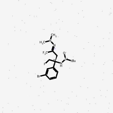 CN(C)/N=C(/C[C@@](CF)(N[S+]([O-])C(C)(C)C)c1cccc(Br)c1)C(F)(F)F